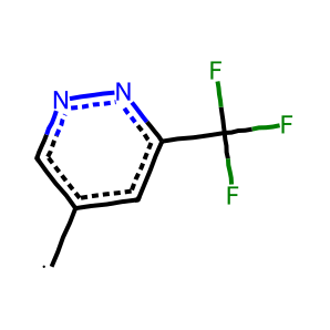 [CH2]c1cnnc(C(F)(F)F)c1